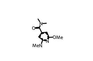 CNc1cc(C(=O)N(C)C)cc(OC)n1